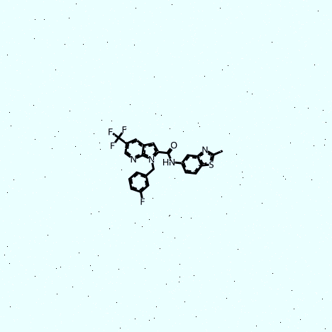 Cc1nc2cc(NC(=O)c3cc4cc(C(F)(F)F)cnc4n3Cc3cccc(F)c3)ccc2s1